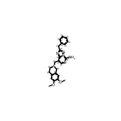 COc1cc2c(cc1OC)CN(Cc1cnc(N)n3nc(Cc4ccccc4)nc13)CC2